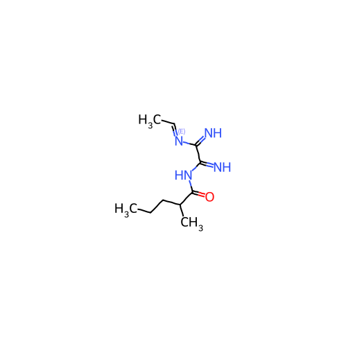 C/C=N/C(=N)C(=N)NC(=O)C(C)CCC